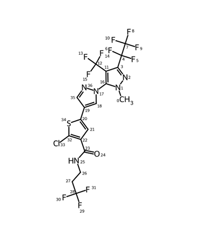 Cn1nc(C(F)(F)C(F)(F)F)c(C(F)(F)F)c1-n1cc(-c2cc(C(=O)NCCC(F)(F)F)c(Cl)s2)cn1